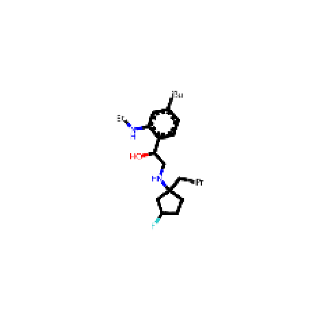 CCNc1cc(C(C)CC)ccc1C(O)CNC1(CC(C)C)CCC(F)C1